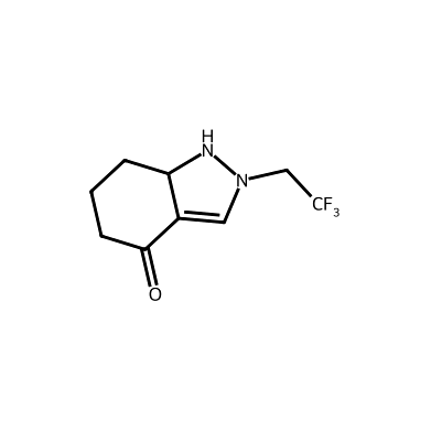 O=C1CCCC2NN(CC(F)(F)F)C=C12